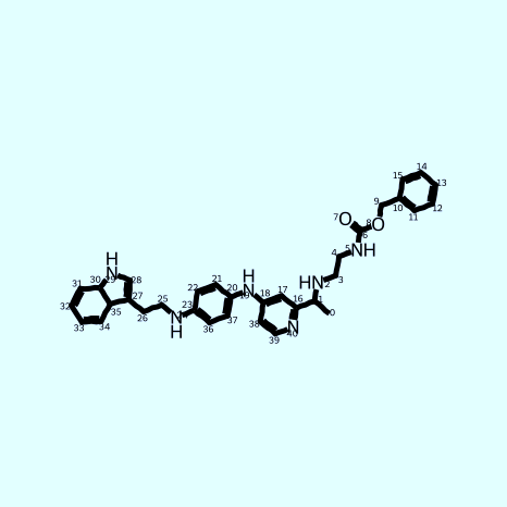 CC(NCCNC(=O)OCc1ccccc1)c1cc(Nc2ccc(NCCC3=CNC4C=CC=CC34)cc2)ccn1